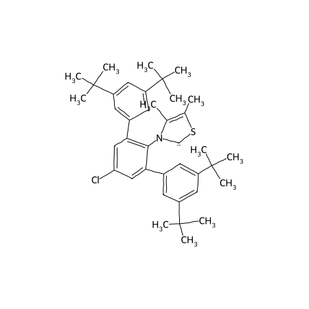 CC1=C(C)N(c2c(-c3cc(C(C)(C)C)cc(C(C)(C)C)c3)cc(Cl)cc2-c2cc(C(C)(C)C)cc(C(C)(C)C)c2)[C]S1